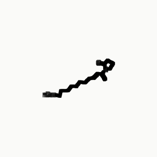 C=C(C=CCCCCCCCCCCCCCCCCCC)N1CCCC1=O